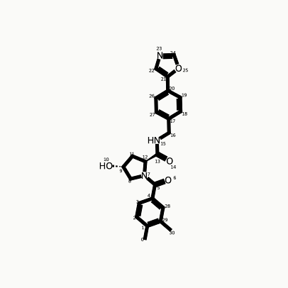 Cc1ccc(C(=O)N2C[C@H](O)C[C@H]2C(=O)NCc2ccc(-c3cnco3)cc2)cc1C